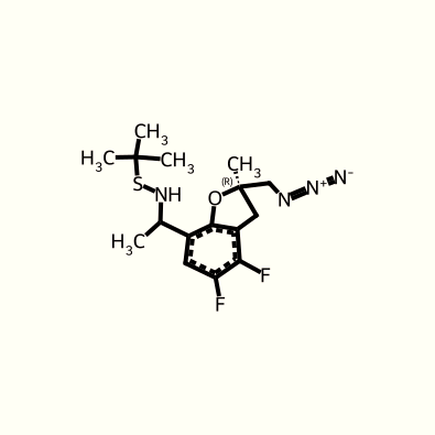 CC(NSC(C)(C)C)c1cc(F)c(F)c2c1O[C@@](C)(CN=[N+]=[N-])C2